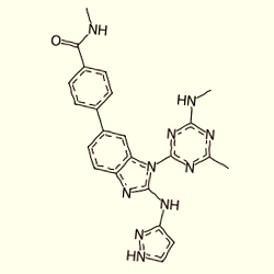 CNC(=O)c1ccc(-c2ccc3nc(Nc4cc[nH]n4)n(-c4nc(C)nc(NC)n4)c3c2)cc1